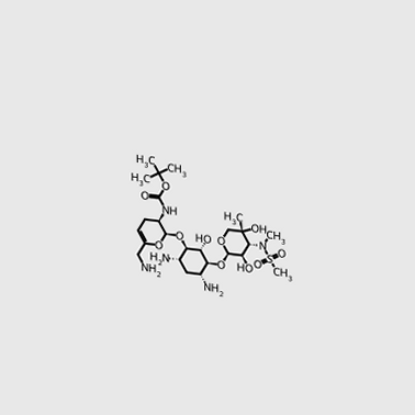 CN([C@@H]1[C@@H](O)[C@@H](O[C@@H]2[C@@H](O)[C@H](O[C@H]3OC(CN)=CC[C@H]3NC(=O)OC(C)(C)C)[C@@H](N)C[C@H]2N)OC[C@]1(C)O)S(C)(=O)=O